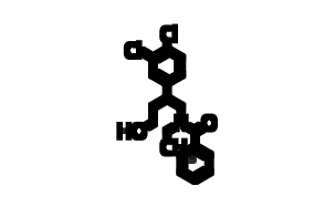 CCN(CC(CCO)c1ccc(Cl)c(Cl)c1)C(=O)c1ccccc1